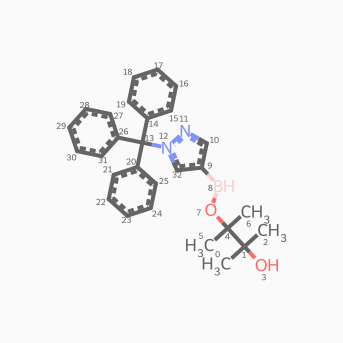 CC(C)(O)C(C)(C)OBc1cnn(C(c2ccccc2)(c2ccccc2)c2ccccc2)c1